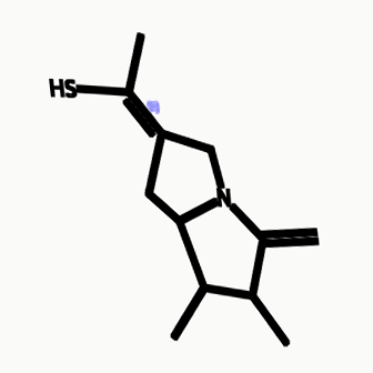 C=C1C(C)C(C)C2C/C(=C(/C)S)CN12